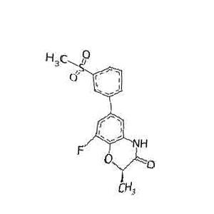 C[C@H]1Oc2c(F)cc(-c3cccc(S(C)(=O)=O)c3)cc2NC1=O